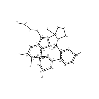 COCCn1c(C2(C)CCCN2C(=O)c2cc(C)ccc2-c2cccc(C)c2)nc2cc(C)c(C)cc21